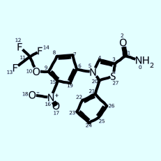 NC(=O)C1=CN(c2ccc(OC(F)(F)F)c([N+](=O)[O-])c2)C(c2ccccc2)S1